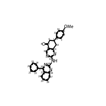 COc1ccc(C2CC(=O)c3cnc(Nc4nc(-c5ccccc5)c5ccccc5n4)nc3C2)cc1